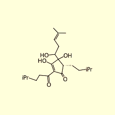 CC(C)=CCC(O)C1(O)C(O)=C(C(=O)CCC(C)C)C(=O)[C@H]1CCC(C)C